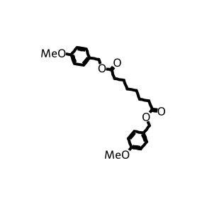 COc1ccc(COC(=O)CCCCCCC(=O)OCc2ccc(OC)cc2)cc1